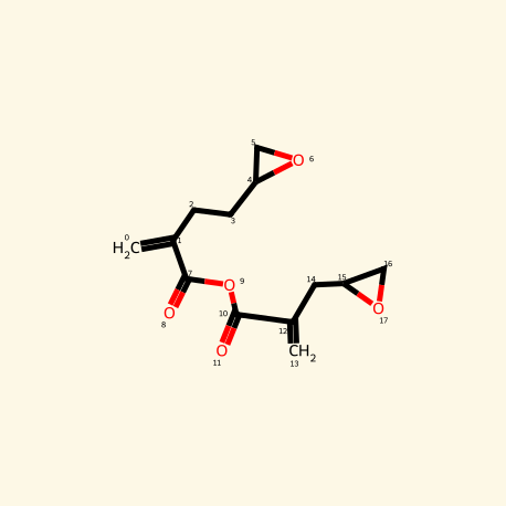 C=C(CCC1CO1)C(=O)OC(=O)C(=C)CC1CO1